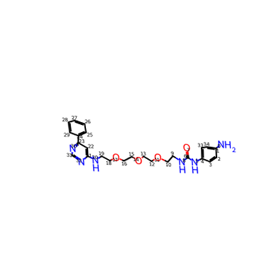 Nc1ccc(NC(=O)NCCOCCOCCOCCNc2cc(-c3ccccc3)ncn2)cc1